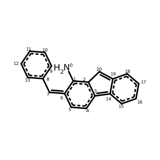 Nc1c2c(ccc1=Cc1ccccc1)=c1ccccc1=C2